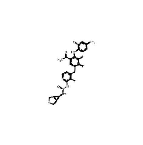 Cc1ccc(Nc2c(C(N)=O)cc(Cc3ccnc(N[S+]([O-])NC4C5COCC54)c3F)c(F)c2F)c(F)c1